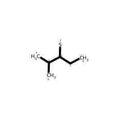 C[CH]C([S])C(C)C